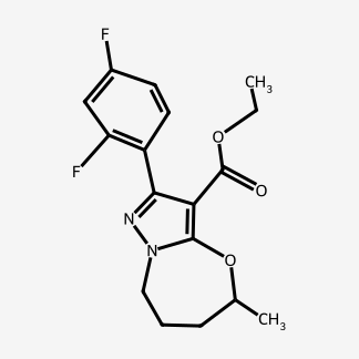 CCOC(=O)c1c(-c2ccc(F)cc2F)nn2c1OC(C)CCC2